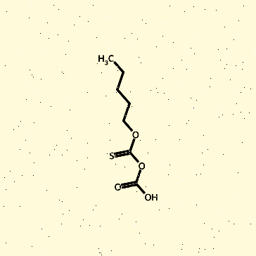 CCCCCOC(=S)OC(=O)O